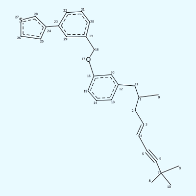 CC(C/C=C/C#CC(C)(C)C)Cc1cccc(OCc2cccc(-c3ccsc3)c2)c1